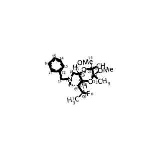 CO[C@@]1(C)O[C@@H]2[C@H]([C@H](C)F)CN(Cc3ccccc3)C[C@H]2O[C@]1(C)OC